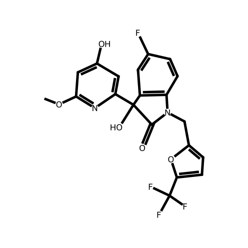 COc1cc(O)cc(C2(O)C(=O)N(Cc3ccc(C(F)(F)F)o3)c3ccc(F)cc32)n1